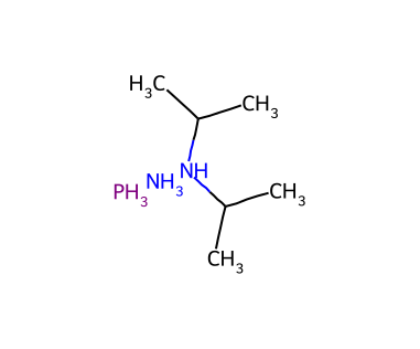 CC(C)NC(C)C.N.P